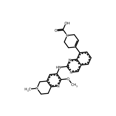 COc1nc2c(cc1Nc1ncc3cccc(C4=CCN(C(=O)O)CC4)c3n1)CN(C)CC2